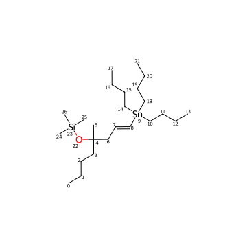 CCCCC(C)(C/C=[CH]/[Sn]([CH2]CCC)([CH2]CCC)[CH2]CCC)O[Si](C)(C)C